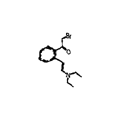 CCN(C=Cc1ccccc1C(=O)CBr)CC